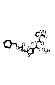 O=C(Nc1nc(C(NC(=O)N2CCNC2=O)C(=O)O)cs1)OCc1ccccc1